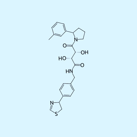 Cc1cccc(C2CCCN2C(=O)[C@H](O)[C@@H](O)C(=O)NCc2ccc(C3CSC=N3)cc2)c1